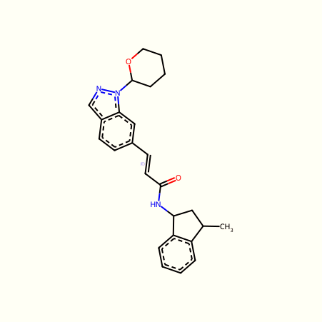 CC1CC(NC(=O)/C=C/c2ccc3cnn(C4CCCCO4)c3c2)c2ccccc21